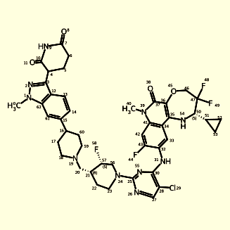 Cn1nc(C2CCC(=O)NC2=O)c2ccc(C3CCN(C[C@H]4CCN(c5ncc(Cl)c(Nc6cc7c8c(c(=O)n(C)c7cc6F)OCC(F)(F)[C@H](C6CC6)N8)n5)C[C@H]4F)CC3)cc21